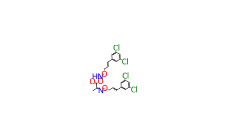 CC(=NOC/C=C/c1cc(Cl)cc(Cl)c1)C(=O)ONOC/C=C/c1cc(Cl)cc(Cl)c1